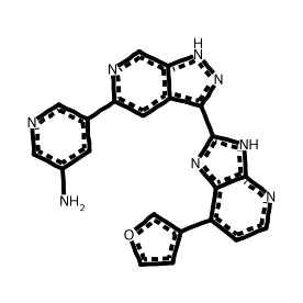 Nc1cncc(-c2cc3c(-c4nc5c(-c6ccoc6)ccnc5[nH]4)n[nH]c3cn2)c1